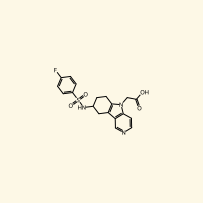 O=C(O)Cn1c2c(c3cnccc31)CC(NS(=O)(=O)c1ccc(F)cc1)CC2